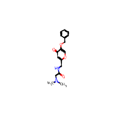 CN(C)CC(=O)NCc1cc(=O)c(OCc2ccccc2)co1